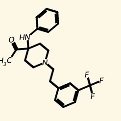 CC(=O)C1(Nc2ccccc2)CCN(CCc2cccc(C(F)(F)F)c2)CC1